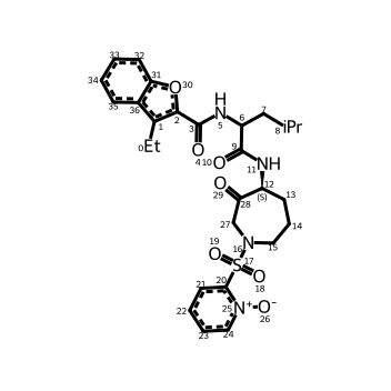 CCc1c(C(=O)NC(CC(C)C)C(=O)N[C@H]2CCCN(S(=O)(=O)c3cccc[n+]3[O-])CC2=O)oc2ccccc12